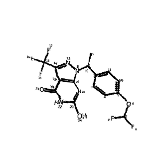 C[C@@H](c1ccc(OC(F)F)cc1)n1nc(C(F)(F)F)c2c(=O)[nH]c(O)nc21